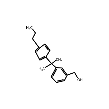 CCCc1ccc(C(C)(C)c2cccc(CO)c2)cc1